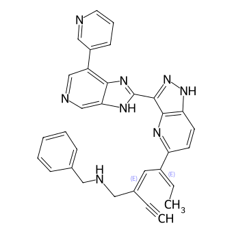 C#C/C(=C\C(=C/C)c1ccc2[nH]nc(-c3nc4c(-c5cccnc5)cncc4[nH]3)c2n1)CNCc1ccccc1